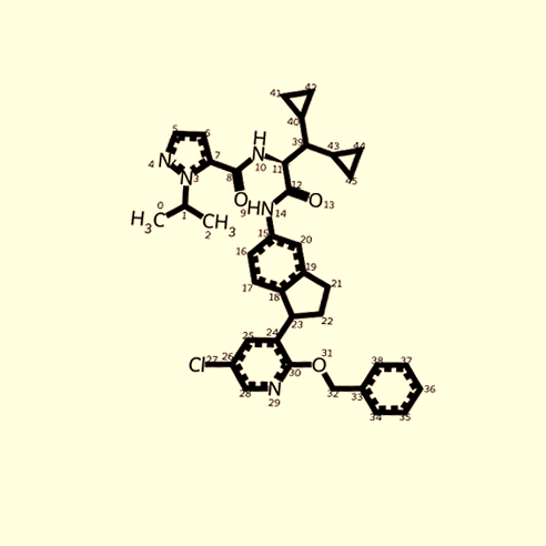 CC(C)n1nccc1C(=O)N[C@H](C(=O)Nc1ccc2c(c1)CCC2c1cc(Cl)cnc1OCc1ccccc1)C(C1CC1)C1CC1